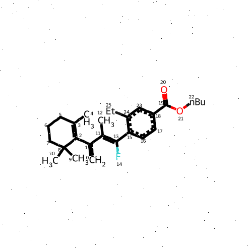 C=C(C1=C(C)CCCC1(C)C)/C(C)=C(\F)c1ccc(C(=O)OCCCC)cc1CC